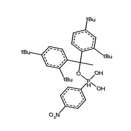 CC(C)(C)c1ccc(C(C)(O[PH](O)(O)c2ccc([N+](=O)[O-])cc2)c2ccc(C(C)(C)C)cc2C(C)(C)C)c(C(C)(C)C)c1